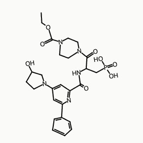 CCOC(=O)N1CCN(C(=O)C(CP(=O)(O)O)NC(=O)c2cc(N3CCC(O)C3)cc(-c3ccccc3)n2)CC1